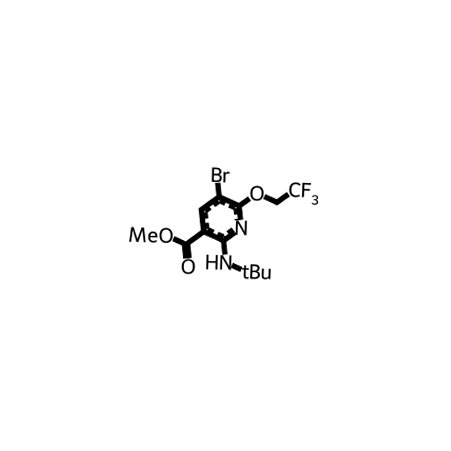 COC(=O)c1cc(Br)c(OCC(F)(F)F)nc1NC(C)(C)C